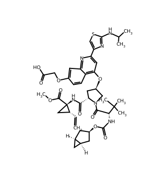 C=C[C@@H]1C[C@]1(NC(=O)[C@@H]1C[C@@H](Oc2cc(-c3csc(NC(C)C)n3)nc3cc(OCC(=O)O)ccc23)CN1C(=O)[C@@H](NC(=O)O[C@@H]1C[C@@H]2C[C@@H]2C1)C(C)(C)C)C(=O)OC